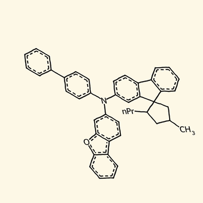 CCCC1CC(C)CC12c1ccccc1-c1ccc(N(c3ccc(-c4ccccc4)cc3)c3ccc4c(c3)oc3ccccc34)cc12